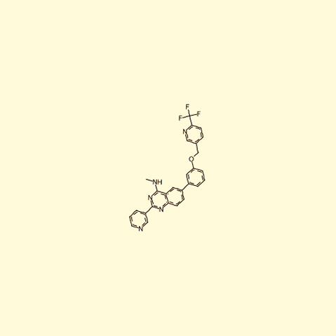 CNc1nc(-c2cccnc2)nc2ccc(-c3cccc(OCc4ccc(C(F)(F)F)nc4)c3)cc12